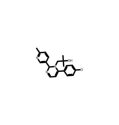 Cc1ccc(C2N=CC=C(c3ccc(Cl)cc3)N2CC(C)(C)O)cn1